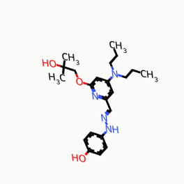 CCCN(CCC)c1cc(/C=N/Nc2ccc(O)cc2)nc(OCC(C)(C)O)c1